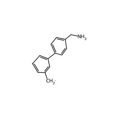 [CH2]c1cccc(-c2ccc(CN)cc2)c1